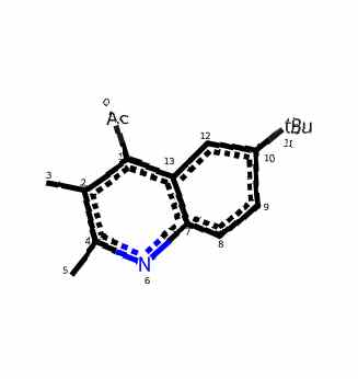 CC(=O)c1c(C)c(C)nc2ccc(C(C)(C)C)cc12